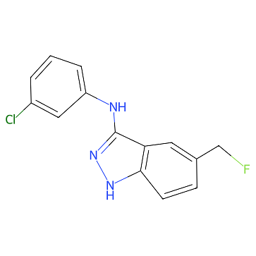 FCc1ccc2[nH]nc(Nc3cccc(Cl)c3)c2c1